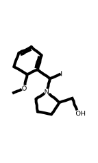 COC1CC=CC=C1C(I)N1CCCC1CO